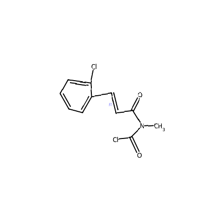 CN(C(=O)Cl)C(=O)/C=C/c1ccccc1Cl